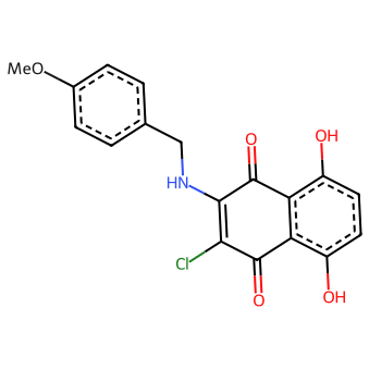 COc1ccc(CNC2=C(Cl)C(=O)c3c(O)ccc(O)c3C2=O)cc1